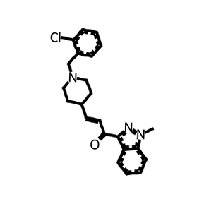 Cn1nc(C(=O)/C=C/C2CCN(Cc3ccccc3Cl)CC2)c2ccccc21